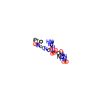 CC(C)c1ccccc1[C@H]1COCCN1C1CC2(CCN(c3ccc(C(=O)NS(=O)(=O)c4cc5c(c([N+](=O)[O-])c4)N[C@@H](CN4CCN(S(C)(=O)=O)CC4)CO5)c(Oc4cnc5[nH]ccc5c4)c3)CC2)C1